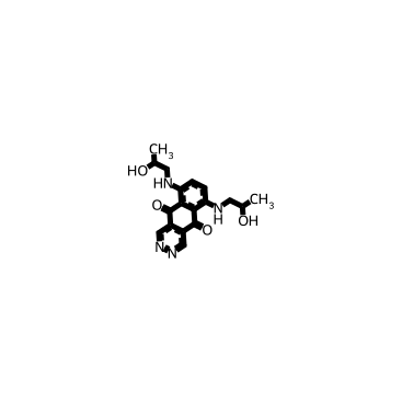 CC(O)CNc1ccc(NCC(C)O)c2c1C(=O)c1cnncc1C2=O